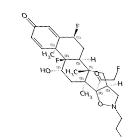 CC(C)(C)CCN1C[C@@H]2C[C@@]3(C)[C@@H]4C[C@H](F)C5=CC(=O)C=C[C@]5(C)[C@@]4(F)[C@@H](O)C[C@]3(C)[C@]2(C(=O)CF)O1